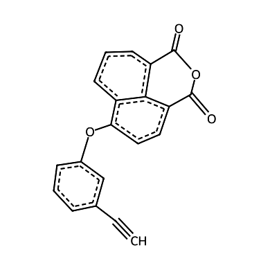 C#Cc1cccc(Oc2ccc3c4c(cccc24)C(=O)OC3=O)c1